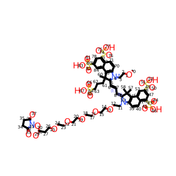 COCC[N+]1=C(/C=C/C=C2/N(CCOCCOCCOCCOCCOCCC(=O)ON3C(=O)CCC3=O)c3ccc4c(S(=O)(=O)O)cc(S(=O)(=O)O)cc4c3C2(C)C)C(C)(CCCS(=O)(=O)O)c2c1ccc1c(S(=O)(=O)O)cc(S(=O)(=O)O)cc21